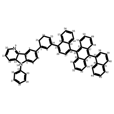 C1=C(c2ccc3c(c2)c2ncccc2n3-c2ccccc2)CCC=C1c1ccc(-c2c3ccccc3c(-c3cccc4ccccc34)c3ccccc23)c2ccccc12